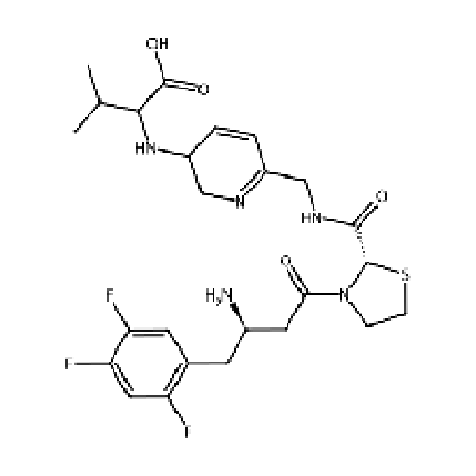 CC(C)C(NC1C=CC(CNC(=O)[C@@H]2SCCN2C(=O)C[C@H](N)Cc2cc(F)c(F)cc2F)=NC1)C(=O)O